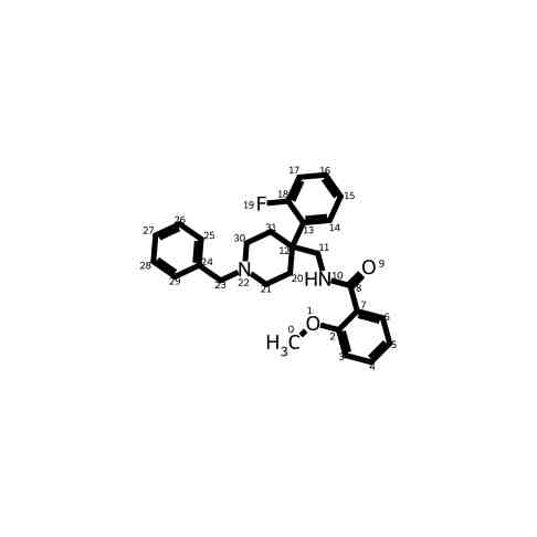 COc1ccccc1C(=O)NCC1(c2ccccc2F)CCN(Cc2ccccc2)CC1